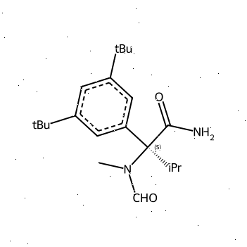 CC(C)[C@@](C(N)=O)(c1cc(C(C)(C)C)cc(C(C)(C)C)c1)N(C)C=O